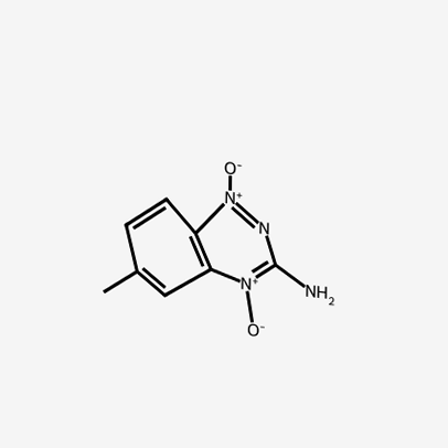 Cc1ccc2c(c1)[n+]([O-])c(N)n[n+]2[O-]